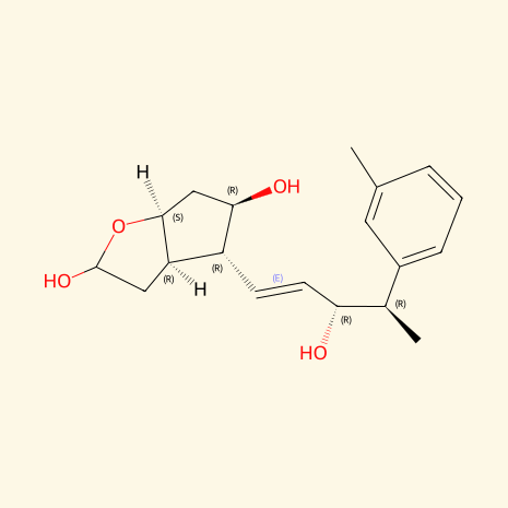 Cc1cccc([C@@H](C)[C@H](O)/C=C/[C@@H]2[C@H]3CC(O)O[C@H]3C[C@H]2O)c1